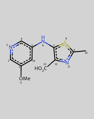 COc1cncc(Nc2sc(C)nc2C(=O)O)c1